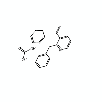 C1=CCCC=C1.C=Cc1cccnc1Cc1ccccc1.O=C(O)O